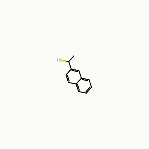 CC(S)c1ccc2ccccc2c1